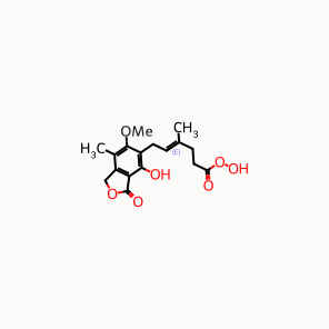 COc1c(C)c2c(c(O)c1C/C=C(\C)CCC(=O)OO)C(=O)OC2